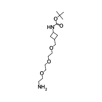 CC(C)(C)OC(=O)NC1CC(COCCOCCOCCN)C1